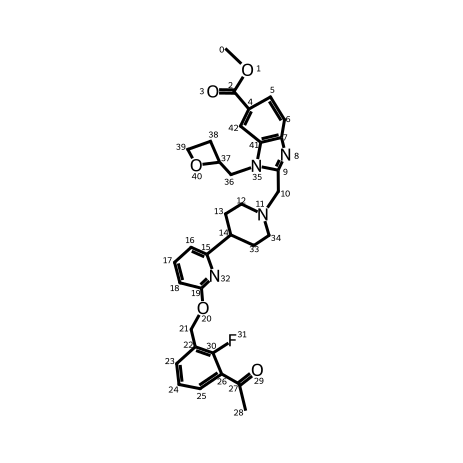 COC(=O)c1ccc2nc(CN3CCC(c4cccc(OCc5cccc(C(C)=O)c5F)n4)CC3)n(CC3CCO3)c2c1